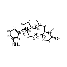 CC1CC2N(C)C(=O)CC[C@]2(C)[C@@H]2CC[C@]3(C)C(c4cccc(N)c4)CC[C@H]3[C@H]12